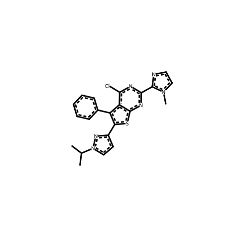 CC(C)n1ccc(-c2sc3nc(-c4nccn4C)nc(Cl)c3c2-c2ccccc2)n1